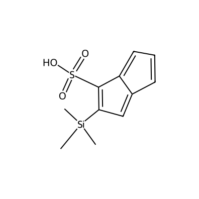 C[Si](C)(C)C1=C(S(=O)(=O)O)C2=CC=CC2=C1